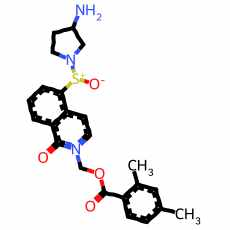 Cc1ccc(C(=O)OCn2ccc3c([S+]([O-])N4CCC(N)C4)cccc3c2=O)c(C)c1